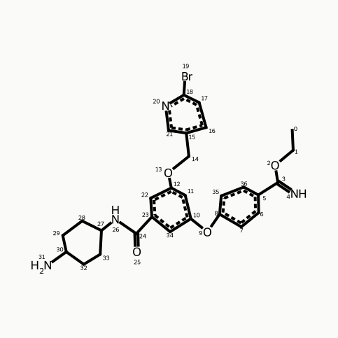 CCOC(=N)c1ccc(Oc2cc(OCc3ccc(Br)nc3)cc(C(=O)NC3CCC(N)CC3)c2)cc1